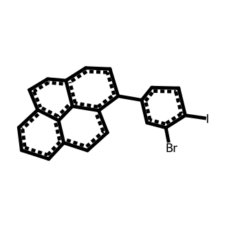 Brc1cc(-c2ccc3ccc4cccc5ccc2c3c45)ccc1I